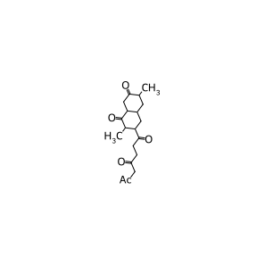 CC(=O)CC(=O)CCC(=O)C1CC2CC(C)C(=O)CC2C(=O)C1C